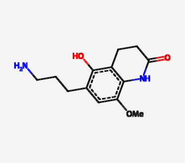 COc1cc(CCCN)c(O)c2c1NC(=O)CC2